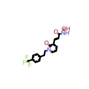 O=C(/C=C/c1cccn(CCc2ccc(C(F)(F)F)cc2)c1=O)NO